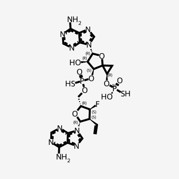 C=C[C@@H]1[C@H](F)[C@@H](COP(=O)(S)O[C@H]2[C@@H](O)[C@H](n3cnc4c(N)ncnc43)OC23C[C@H]3O[P@](=O)(O)S)O[C@H]1n1cnc2c(N)ncnc21